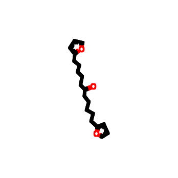 O=C(CCCCCc1ccco1)CCCCCc1ccco1